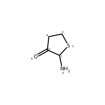 NC1SCCC1=O